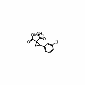 COC(=O)C1(C(N)=O)CC1c1cccc(Cl)c1